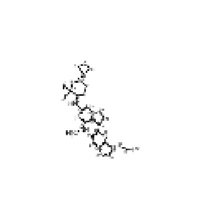 CNc1nc(N[C@@H]2CCN(C3COC3)CC2(F)F)nn2ccc(-c3ccc4ncn(CCF)c4n3)c12